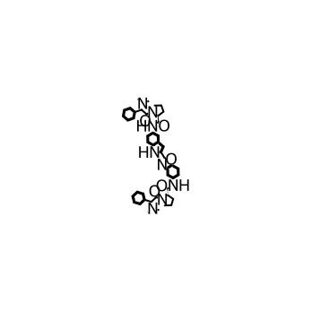 CN(C)[C@@H](C(=O)N1CCC[C@H]1C(=O)Nc1ccc2[nH]c(-c3nc4cc(NC(=O)[C@@H]5CCCN5C(=O)[C@@H](c5ccccc5)N(C)C)ccc4o3)cc2c1)c1ccccc1